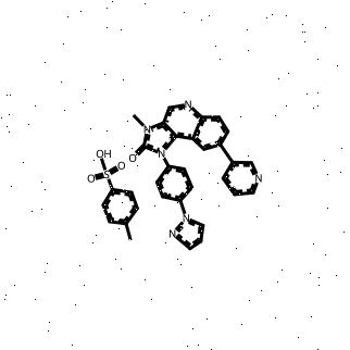 Cc1ccc(S(=O)(=O)O)cc1.Cn1c(=O)n(-c2ccc(-n3cccn3)cc2)c2c3cc(-c4cccnc4)ccc3ncc21